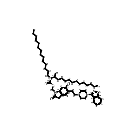 CCCCCCCCCCCCCCN(C(=O)OCN1C(=O)Cc2cc(CCN3CCN(c4nsc5ccccc45)CC3)c(Cl)cc21)C(C)CCCCCCCCCCCC